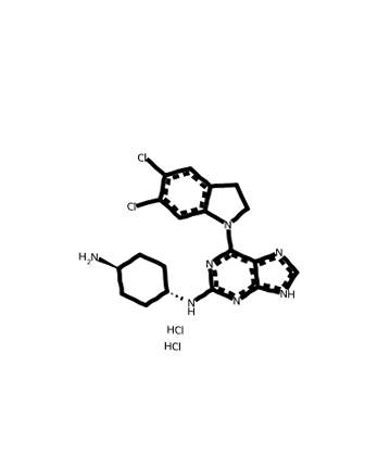 Cl.Cl.N[C@H]1CC[C@H](Nc2nc(N3CCc4cc(Cl)c(Cl)cc43)c3nc[nH]c3n2)CC1